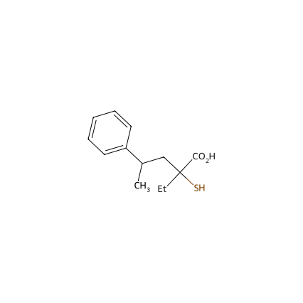 CCC(S)(CC(C)c1ccccc1)C(=O)O